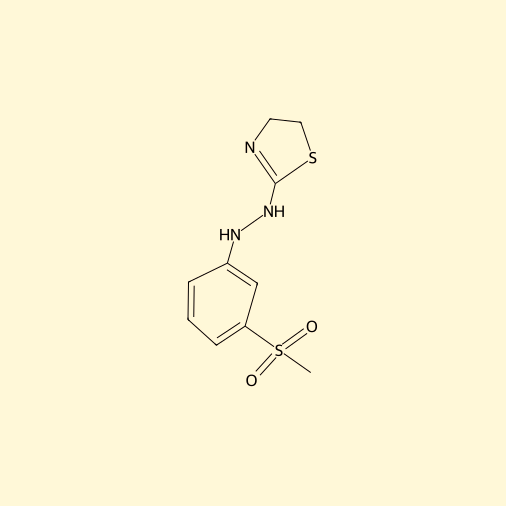 CS(=O)(=O)c1cccc(NNC2=NCCS2)c1